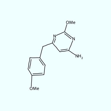 COc1ccc(Cc2cc(N)nc(OC)n2)cc1